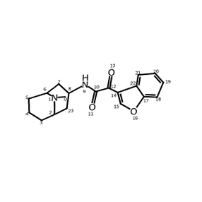 CN1C2CCCC1CC(NC(=O)C(=O)c1coc3ccccc13)C2